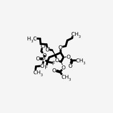 CCCCOC[C@]1(CC(F)(F)P(=O)(OCC)OCC)O[C@@H](OC(C)=O)[C@@H](OC(C)=O)C1OCCCC